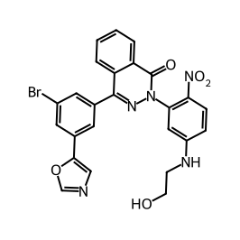 O=c1c2ccccc2c(-c2cc(Br)cc(-c3cnco3)c2)nn1-c1cc(NCCO)ccc1[N+](=O)[O-]